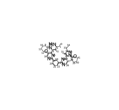 CCC(=N)/C(C)=C(\NC1CCCCO1)c1ccnc(-c2cccc(-c3nccc(-c4c(C)c(CC)nn4C4CCCCO4)n3)c2)n1